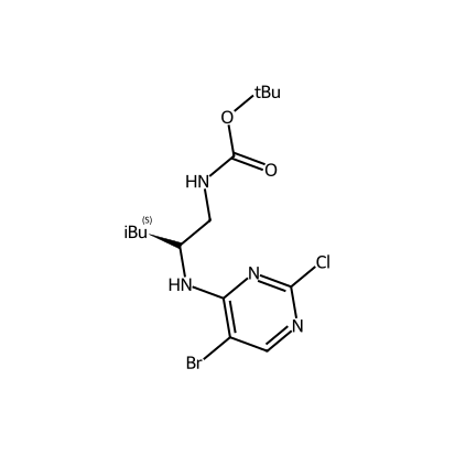 CC[C@H](C)C(CNC(=O)OC(C)(C)C)Nc1nc(Cl)ncc1Br